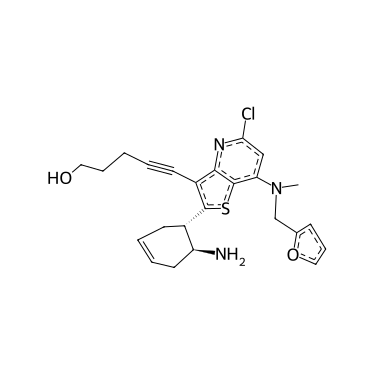 CN(Cc1ccco1)c1cc(Cl)nc2c(C#CCCCO)c([C@H]3CC=CC[C@@H]3N)sc12